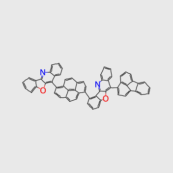 c1ccc2c(c1)-c1cccc3c(-c4c5ccccc5nc5c4oc4cccc(-c6ccc7ccc8c(-c9c%10ccccc%10nc%10c9oc9ccccc9%10)ccc9ccc6c7c98)c45)ccc-2c13